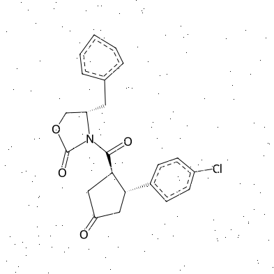 O=C1C[C@@H](C(=O)N2C(=O)OC[C@@H]2Cc2ccccc2)[C@H](c2ccc(Cl)cc2)C1